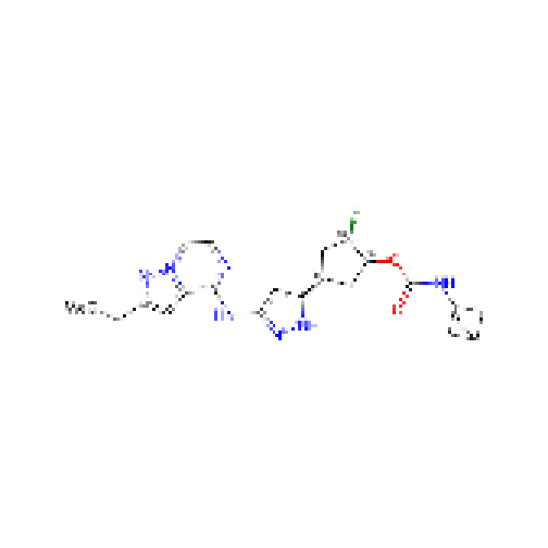 COCc1cc2c(Nc3cc([C@H]4C[C@@H](F)[C@@H](OC(=O)NC56CC(C5)C6)C4)[nH]n3)nccn2n1